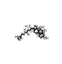 CC[C@H]1[C@@H](O)[C@@H]2[C@H](CC[C@]3(C)[C@@H]([C@H](C)CCC(=O)NCCc4cnc[nH]4)CC[C@@H]23)[C@@]2(C)CC[C@@H](O)C[C@@H]12